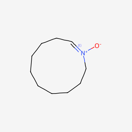 [O-]/[N+]1=C/CCCCCCCCC1